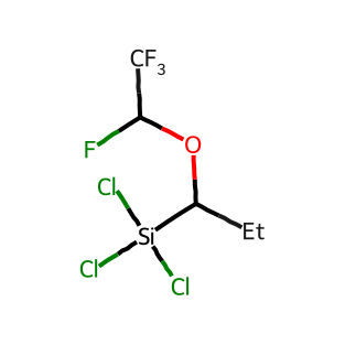 CCC(OC(F)C(F)(F)F)[Si](Cl)(Cl)Cl